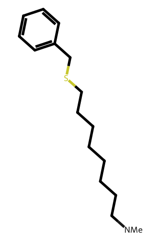 CNCCCCCCCCSCc1ccccc1